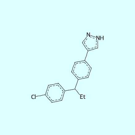 CCC(c1ccc(Cl)cc1)c1ccc(-c2cn[nH]c2)cc1